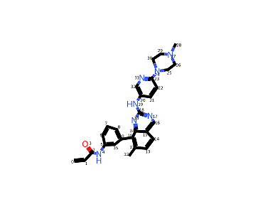 C=CC(=O)Nc1cccc(-c2c(C)ccc3cnc(Nc4ccc(N5CCN(C)CC5)nc4)nc23)c1